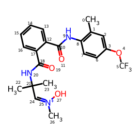 Cc1cc(OC(F)(F)F)ccc1NC(=O)c1ccccc1C(=O)NC(C)(C)C=[N+](C)O